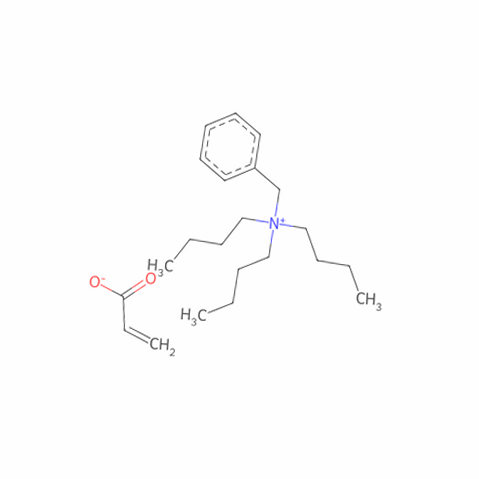 C=CC(=O)[O-].CCCC[N+](CCCC)(CCCC)Cc1ccccc1